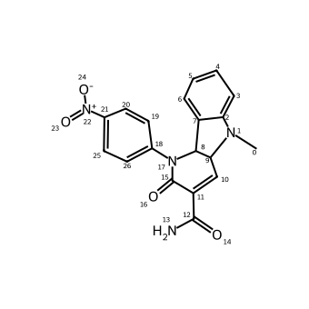 CN1c2ccccc2C2C1C=C(C(N)=O)C(=O)N2c1ccc([N+](=O)[O-])cc1